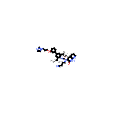 CC(C)c1cc(-c2cccc(OCCCn3ccnc3)c2)cc(C(C)C)c1NC(=O)N(CCCC#N)c1cc2cccnc2[nH]c1=O